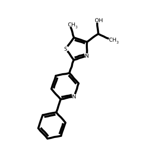 Cc1sc(-c2ccc(-c3ccccc3)nc2)nc1C(C)O